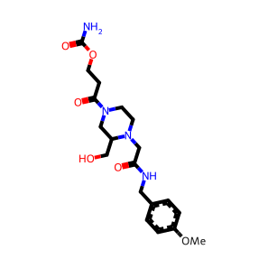 COc1ccc(CNC(=O)CN2CCN(C(=O)CCOC(N)=O)CC2CO)cc1